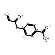 O=CC(=O)Cc1ccc(C(=O)O)cc1